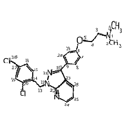 CN(C)CCOc1ccc(-c2nn(Cc3ccc(Cl)cc3Cl)c3ncccc23)cc1